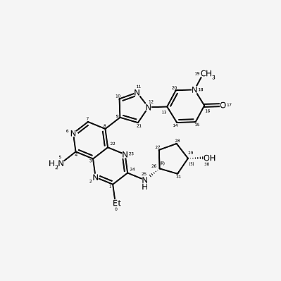 CCc1nc2c(N)ncc(-c3cnn(-c4ccc(=O)n(C)c4)c3)c2nc1N[C@@H]1CC[C@H](O)C1